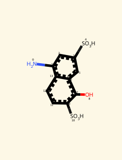 Nc1cc(S(=O)(=O)O)cc2c(O)c(S(=O)(=O)O)ccc12